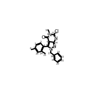 Cc1ccc(-c2c3c(=O)n(C)c(Cl)nc3nn2Cc2ccccc2)c(C)c1